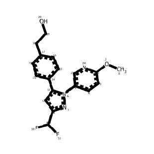 COc1ccc(-n2nc(C(F)F)cc2-c2ccc(CCO)cc2)cn1